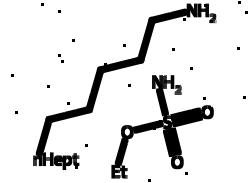 CCCCCCCCCCCCN.CCOS(N)(=O)=O